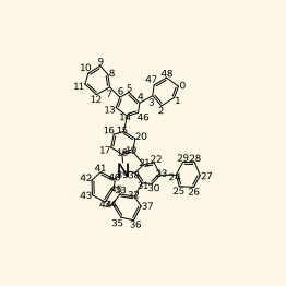 c1ccc(-c2cc(-c3ccccc3)cc(-c3ccc4c(c3)c3cc(-c5ccccc5)cc(-c5ccccc5)c3n4-c3ccccc3)c2)cc1